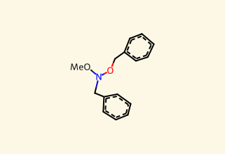 CON(Cc1ccccc1)OCc1ccccc1